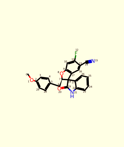 COc1ccc(C[C@H]2Oc3cc(F)c(C#N)cc3C23C(=O)Nc2ccccc23)cc1